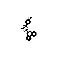 CCOC(=NC(=O)c1ccc(OC)cc1)N1Cc2ccccc2-c2ccccc2C1